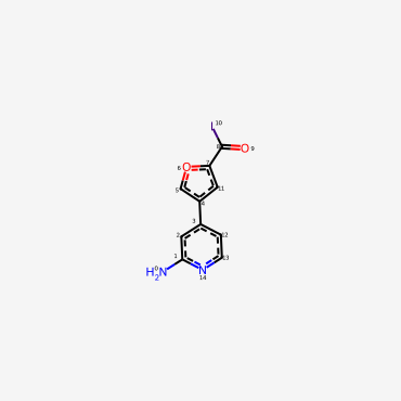 Nc1cc(-c2coc(C(=O)I)c2)ccn1